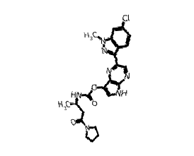 C[C@H](CC(=O)N1CCCC1)NC(=O)Oc1c[nH]c2ncc(-c3nn(C)c4cc(Cl)ccc34)nc12